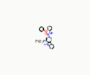 CCOC(=O)C1=CN(C(=O)Nc2ccccc2Oc2ccccc2)CCc2c1[nH]c1ccccc21